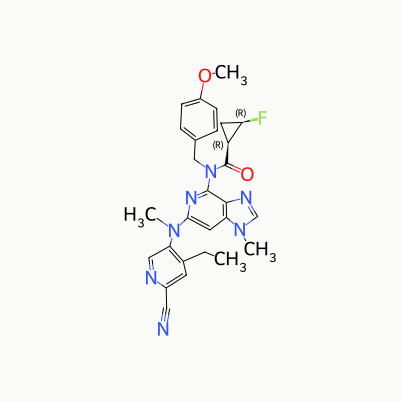 CCc1cc(C#N)ncc1N(C)c1cc2c(ncn2C)c(N(Cc2ccc(OC)cc2)C(=O)[C@H]2C[C@H]2F)n1